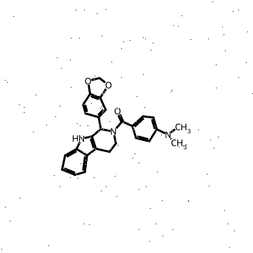 CN(C)c1ccc(C(=O)N2CCc3c([nH]c4ccccc34)C2c2ccc3c(c2)OCO3)cc1